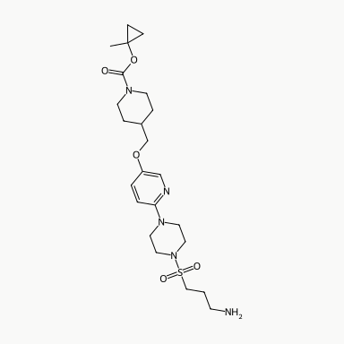 CC1(OC(=O)N2CCC(COc3ccc(N4CCN(S(=O)(=O)CCCN)CC4)nc3)CC2)CC1